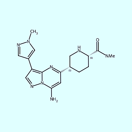 CNC(=O)[C@@H]1CC[C@H](c2cc(N)n3ncc(-c4cnn(C)c4)c3n2)CN1